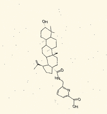 C=C(C)[C@@H]1CC[C@]2(C(=O)NCc3cccc(C(=O)O)n3)CC[C@]3(C)C(CCC4[C@@]5(C)CC[C@H](O)C(C)(C)C5CC[C@]43C)C12